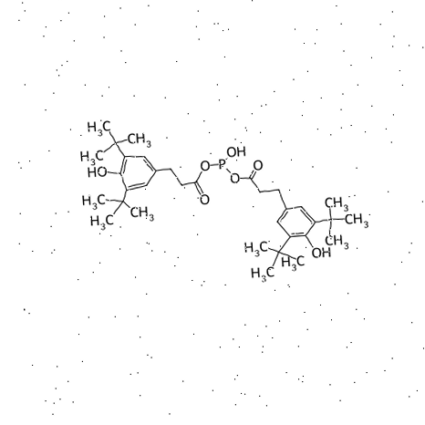 CC(C)(C)c1cc(CCC(=O)OP(O)OC(=O)CCc2cc(C(C)(C)C)c(O)c(C(C)(C)C)c2)cc(C(C)(C)C)c1O